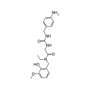 CCN(Cc1cccc(OC)c1O)C(=O)CNC(=O)NCc1ccc(N)cc1